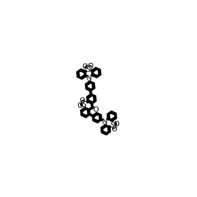 O=C1c2ccc(-c3ccc(N4c5ccccc5S(=O)(=O)c5ccccc54)cc3)cc2S(=O)(=O)c2cccc(-c3ccc(N4c5ccccc5S(=O)(=O)c5ccccc54)cc3)c21